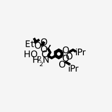 CCC(C)(C)OC(=O)O[C@@H](C)CC(N)(Cc1ccc(OC(=O)CC(C)C)c(OC(=O)CC(C)C)c1)C(=O)O